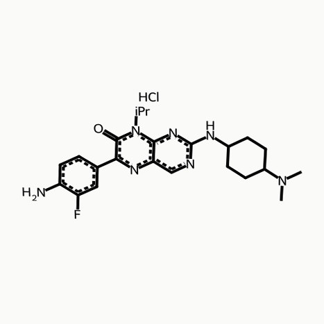 CC(C)n1c(=O)c(-c2ccc(N)c(F)c2)nc2cnc(NC3CCC(N(C)C)CC3)nc21.Cl